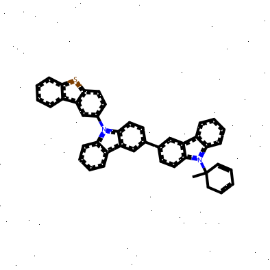 CC1(n2c3ccccc3c3cc(-c4ccc5c(c4)c4ccccc4n5-c4ccc5sc6ccccc6c5c4)ccc32)C=CC=CC1